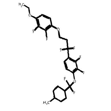 CCOc1ccc(OCCC(F)(F)c2ccc(OC(F)(F)C3CCC(C)CC3)c(F)c2F)c(F)c1F